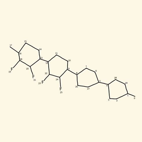 CC1CCC(C2CCC(C3CCC(C4CCC(C)C(F)C4F)C(F)C3F)CC2)CC1